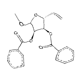 C=C[C@H]1OC(OC)[C@H](OC(=O)c2ccccc2)[C@@H]1OC(=O)c1ccccc1